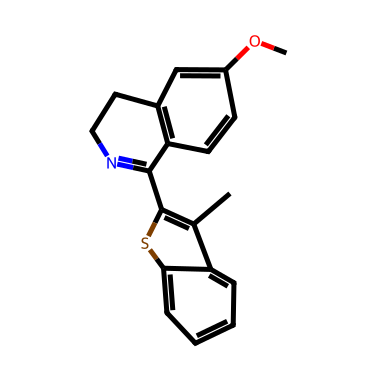 COc1ccc2c(c1)CCN=C2c1sc2ccccc2c1C